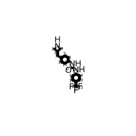 O=C(Nc1ccc(C=C2CNC2)cc1)Nc1ccc(C(F)(F)F)cc1